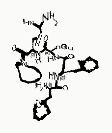 CCCC[C@@H](NC(=O)[C@@H](Cc1ccccc1)NC(=O)[C@H](N)Cc1ccccc1)C(=O)N[C@H](CNC(=N)N)C(=O)N1CCCCCC1